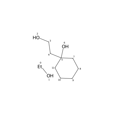 CCO.OCCC1(O)CCCCC1